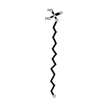 O=P(O)(O)OCCCCCCCCCCCCCCl